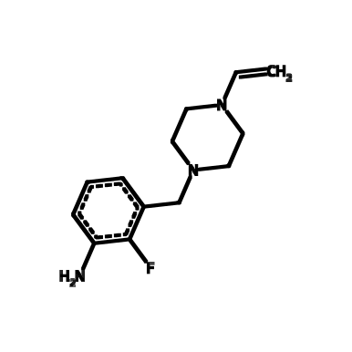 C=CN1CCN(Cc2cccc(N)c2F)CC1